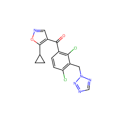 O=C(c1cnoc1C1CC1)c1ccc(Cl)c(Cn2ncnn2)c1Cl